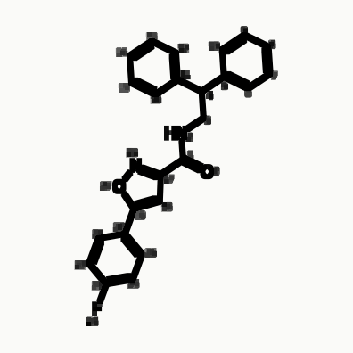 O=C(NCC(c1ccccc1)c1ccccc1)c1cc(-c2ccc(F)cc2)on1